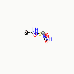 O=C1CCC(N2Cc3c(SCCNC(=O)NCCCCC45CC6CC(CC(C6)C4)C5)cccc3C2=O)C(=O)N1